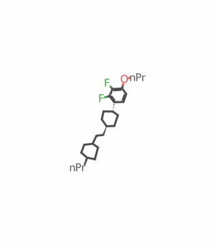 CCCOc1ccc([C@H]2CC[C@H](CCC3CCC(CCC)CC3)CC2)c(F)c1F